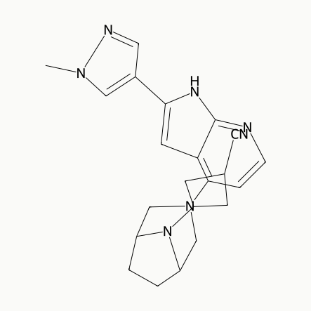 Cn1cc(-c2cc3c(N4CC5CCC(C4)N5C4CC(C#N)C4)ccnc3[nH]2)cn1